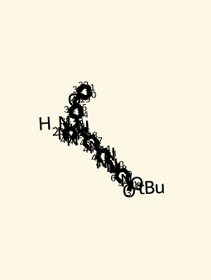 CC(C)(C)OC(=O)N1CCC2(CC1)CN(c1ncc(N3CCC(n4nc(-c5ccc(Oc6ccccc6)cc5)c5c(N)ncnc54)CC3)cn1)C2